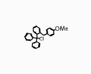 COc1ccc(Cc2ccccc2C(Cl)(c2ccccc2)c2ccccc2)cc1